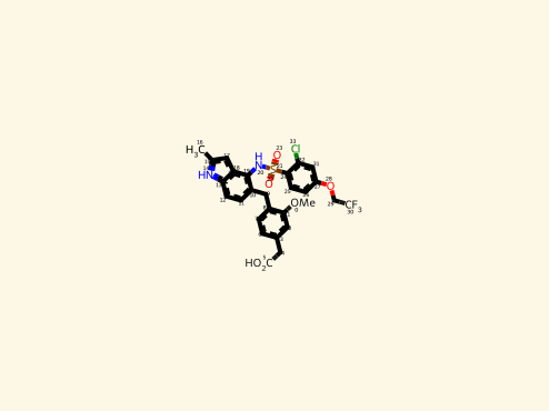 COc1cc(CC(=O)O)ccc1Cc1ccc2[nH]c(C)cc2c1NS(=O)(=O)c1ccc(OCC(F)(F)F)cc1Cl